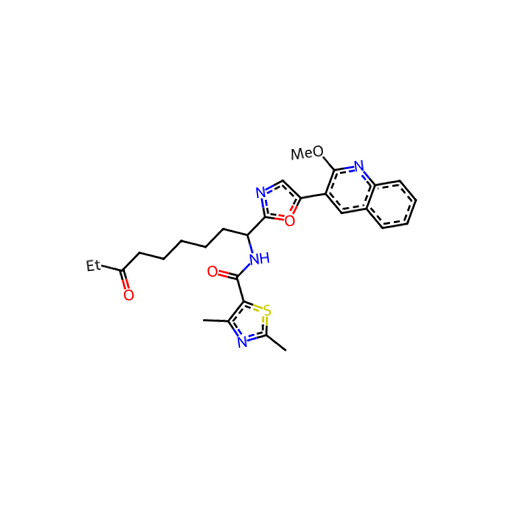 CCC(=O)CCCCCC(NC(=O)c1sc(C)nc1C)c1ncc(-c2cc3ccccc3nc2OC)o1